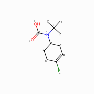 CC(C)(C)N(C(=O)O)C1CC=C(F)CC1